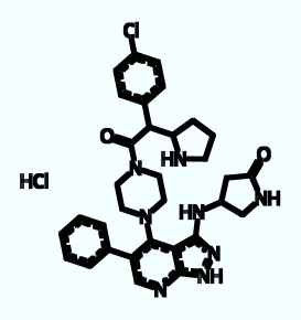 Cl.O=C1CC(Nc2n[nH]c3ncc(-c4ccccc4)c(N4CCN(C(=O)C(c5ccc(Cl)cc5)C5CCCN5)CC4)c23)CN1